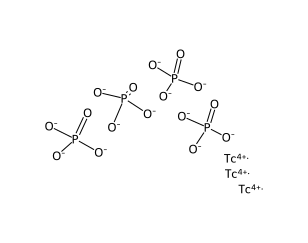 O=P([O-])([O-])[O-].O=P([O-])([O-])[O-].O=P([O-])([O-])[O-].O=P([O-])([O-])[O-].[Tc+4].[Tc+4].[Tc+4]